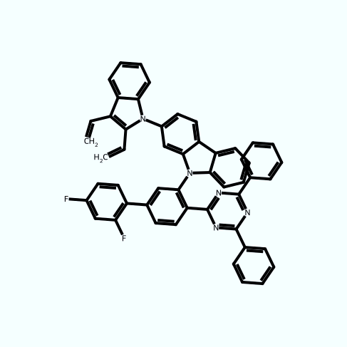 C=Cc1c(C=C)n(-c2ccc3c4ccccc4n(-c4cc(-c5ccc(F)cc5F)ccc4-c4nc(-c5ccccc5)nc(-c5ccccc5)n4)c3c2)c2ccccc12